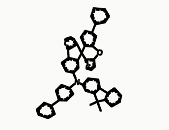 CC1(C)c2ccccc2-c2ccc(N(c3ccc(-c4ccccc4)cc3)c3ccc4c(c3)C3(c5ccccc5Oc5cc(-c6ccccc6)ccc53)c3ccccc3-4)cc21